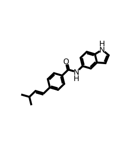 CC(C)/C=C/c1ccc(C(=O)Nc2ccc3[nH]ccc3c2)cc1